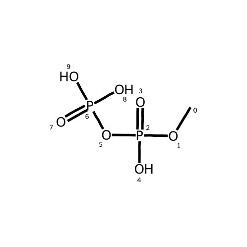 COP(=O)(O)OP(=O)(O)O